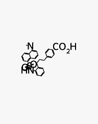 CN(C)c1cccc2c(S(=O)(=O)Nc3ccccc3CCCc3ccc(C(=O)O)cc3)cccc12